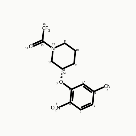 N#Cc1ccc([N+](=O)[O-])c(O[C@H]2CCCN(C(=O)C(F)(F)F)C2)c1